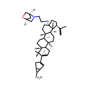 C=C(C)[C@@H]1CC[C@]2(NCCN3C[C@@H]4C[C@H]3CO4)CC[C@]3(C)[C@H](CC[C@@H]4[C@@]5(C)CC=C(C6=CC7C(C6)C7C(=O)OCC)C(C)(C)[C@@H]5CC[C@]43C)[C@@H]12